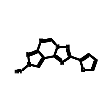 CCCn1cc2c(ncn3nc(-c4ccco4)nc23)n1